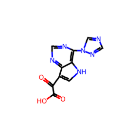 O=C(O)C(=O)c1c[nH]c2c(-n3cncn3)ncnc12